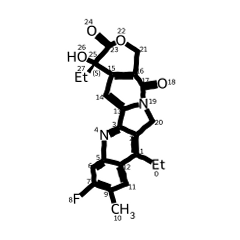 CCc1c2c(nc3cc(F)c(C)cc13)-c1cc3c(c(=O)n1C2)COC(=O)[C@]3(O)CC